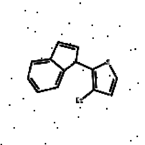 CCc1ccsc1[C]1C=Cc2ccccc21